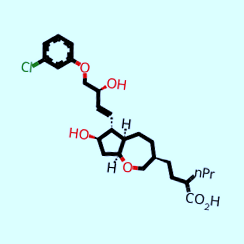 CCCC(CC[C@@H]1CC[C@@H]2[C@@H](C=C[C@H](O)COc3cccc(Cl)c3)[C@H](O)C[C@@H]2OC1)C(=O)O